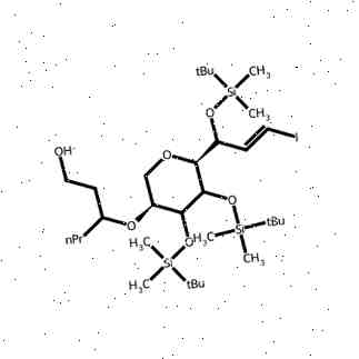 CCCC(CCO)O[C@H]1CO[C@@H](C(/C=C/I)O[Si](C)(C)C(C)(C)C)C(O[Si](C)(C)C(C)(C)C)C1O[Si](C)(C)C(C)(C)C